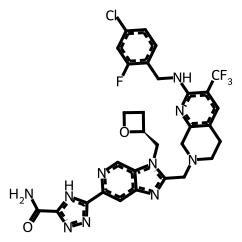 NC(=O)c1nnc(-c2cc3nc(CN4CCc5cc(C(F)(F)F)c(NCc6ccc(Cl)cc6F)nc5C4)n(C[C@@H]4CCO4)c3cn2)[nH]1